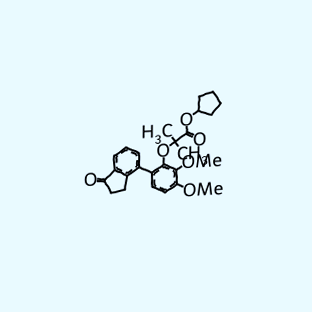 COc1ccc(-c2cccc3c2CCC3=O)c(OC(C)(C)C(=O)OC2CCCC2)c1OC